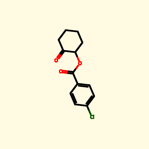 O=C(OC1CCCCC1=O)c1ccc(Cl)cc1